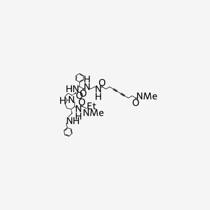 CC[C@H](NC)C(=O)N[C@@H]1CN2[C@@H](CC[C@@H]1CCNCc1ccccc1)CC[C@H]2C(=O)N[C@H](C(=O)NCCNC(=O)CCC#CC#CCCC(=O)NC)c1ccccc1